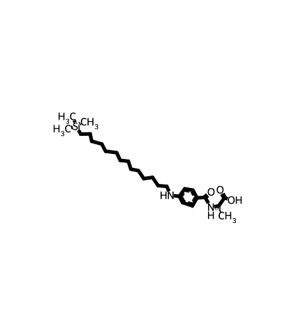 C[C@H](NC(=O)c1ccc(NCCCCCCCCCCCCCC[Si](C)(C)C)cc1)C(=O)O